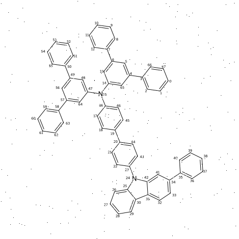 c1ccc(-c2cc(-c3ccccc3)cc(N(c3ccc(-c4ccc(-n5c6ccccc6c6ccc(-c7ccccc7)cc65)cc4)cc3)c3cc(-c4ccccc4)cc(-c4ccccc4)c3)c2)cc1